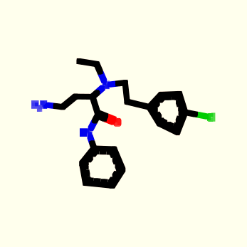 CCN(CCc1ccc(Cl)cc1)C(CCN)C(=O)Nc1ccccc1